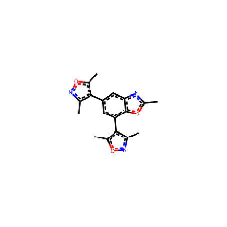 Cc1nc2cc(-c3c(C)noc3C)cc(-c3c(C)noc3C)c2o1